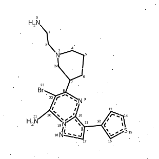 NCCN1CCCC(c2nc3c(-c4ccsc4)cnn3c(N)c2Br)C1